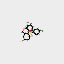 O=S(=O)(c1ccc(Cl)cc1)[C@]12CCC[C@@H](O)CC1COc1c(F)ccc(F)c12